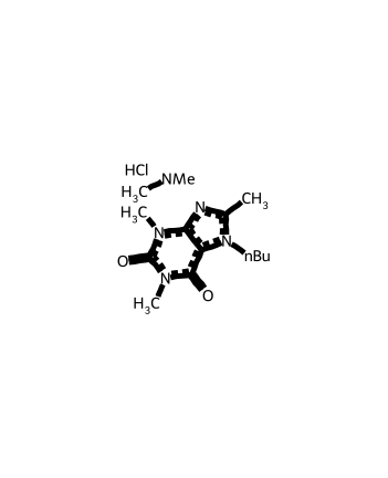 CCCCn1c(C)nc2c1c(=O)n(C)c(=O)n2C.CNC.Cl